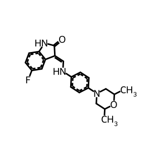 CC1CN(c2ccc(N/C=C3/C(=O)Nc4ccc(F)cc43)cc2)CC(C)O1